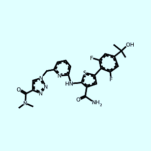 CN(C)C(=O)c1cn(Cc2cccc(Nc3sc(-c4c(F)cc(C(C)(C)O)cc4F)cc3C(N)=O)n2)nn1